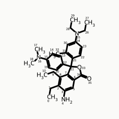 CCc1c(N)cc2c(c1CC)C(c1ccc(N(C)C)cc1)(c1ccc(N(CC)CC)cc1C)OC2=O